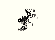 COCc1ccc(OC(F)(F)F)c(CNC(=O)Nc2c(C)c(O[C@H]3CCNC[C@H]3F)nn2-c2ccccc2)c1